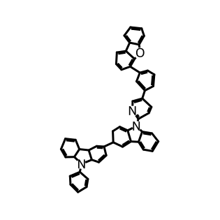 C1=CC2C3C=C(C4C=c5c(n(-c6ccc(-c7cccc(-c8cccc9c8oc8ccccc89)c7)cn6)c6ccccc56)=CC4)C=CC3N(c3ccccc3)C2C=C1